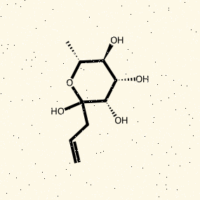 C=CCC1(O)O[C@H](C)[C@@H](O)[C@H](O)[C@@H]1O